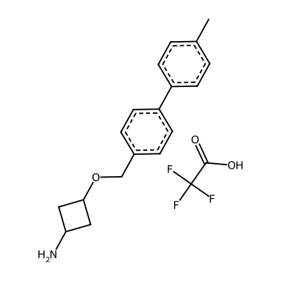 Cc1ccc(-c2ccc(COC3CC(N)C3)cc2)cc1.O=C(O)C(F)(F)F